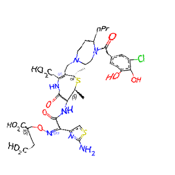 CCCC1CCN(C/C2=C(\C(=O)O)NC(=O)C(NC(=O)/C(=N\O[C@@H](CC(=O)O)C(=O)O)c3csc(N)n3)[C@H](C)S[C@H]2C)CCN1C(=O)c1cc(O)c(O)c(Cl)c1